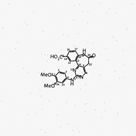 COc1ccc(Nc2ncc3c(n2)-c2cc(C(=O)O)ccc2NC(=O)C3)cc1OC